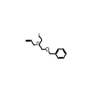 C=CC[C@@H](CI)COCc1ccccc1